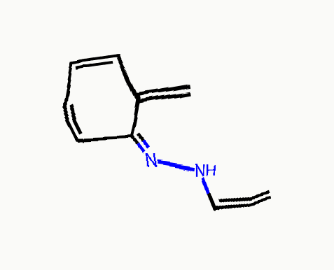 C=CN/N=C1/C=CC=CC1=C